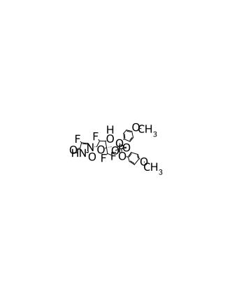 COc1ccc(OP(=O)(OC[C@]2(C(F)F)O[C@H](n3cc(F)c(=O)[nH]c3=O)C(F)C2O)Oc2ccc(OC)cc2)cc1